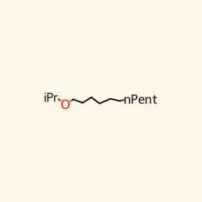 CCCCCCCCCCCOC(C)C